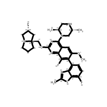 COc1cc2c(N3C[C@@H](C)NC[C@@H]3C)nc(OC[C@@]34CCCN3C[C@H](F)C4)nc2c(F)c1-c1ccc(F)c2sc(N)nc12